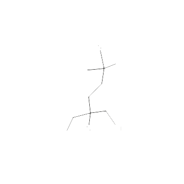 CCC(N)(CC)CCC(C)(C)N